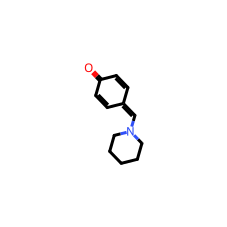 O=C1C=CC(=CN2CCCCC2)C=C1